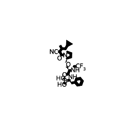 CC(CC1CC1)C(C#N)C(=O)N1CCC[C@@H]1COC[C@H](NCC(F)(F)F)C(=O)N[C@@H](Cc1ccccc1)B(O)O